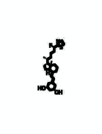 C[C@H](CCC[C@H](F)c1nccs1)[C@H]1CC[C@H]2/C(=C/C=C3C[C@@H](O)C[C@H](O)C3)CCC[C@]12C